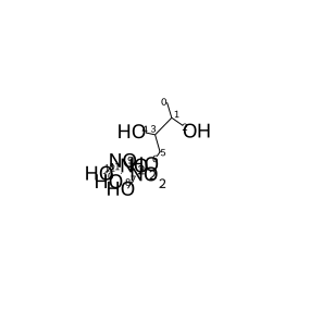 CC(O)C(O)CO.O=[N+]([O-])O.O=[N+]([O-])O.O=[N+]([O-])O